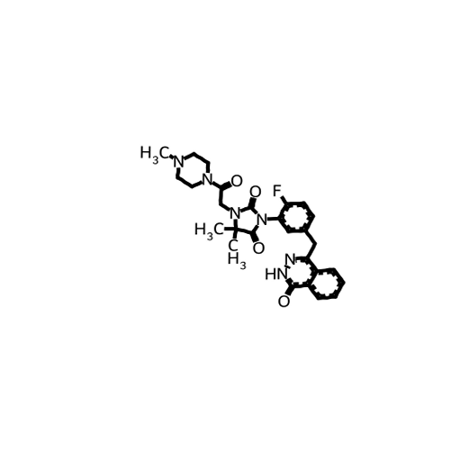 CN1CCN(C(=O)CN2C(=O)N(c3cc(Cc4n[nH]c(=O)c5ccccc45)ccc3F)C(=O)C2(C)C)CC1